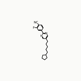 N#Cc1ccc(-c2ncc(CCCCCC3CCCC3)cn2)cc1F